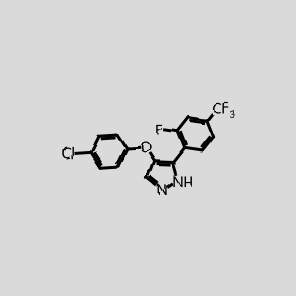 Fc1cc(C(F)(F)F)ccc1-c1[nH]ncc1Oc1ccc(Cl)cc1